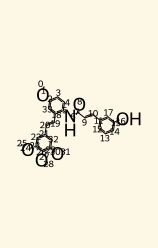 COc1ccc(NC(=O)/C=C/c2cccc(O)c2)c(/C=C/c2cc(OC)c(OC)c(OC)c2)c1